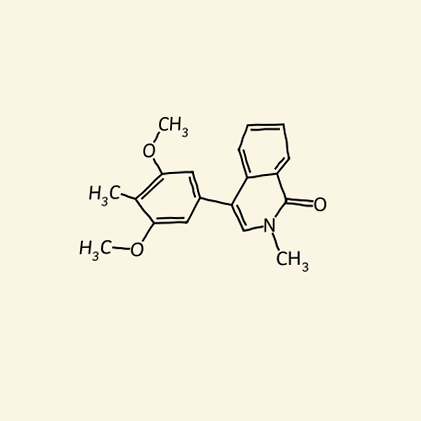 COc1cc(-c2cn(C)c(=O)c3ccccc23)cc(OC)c1C